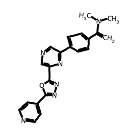 C=C(c1ccc(-c2cncc(-c3nnc(-c4ccncc4)o3)n2)cc1)N(C)C